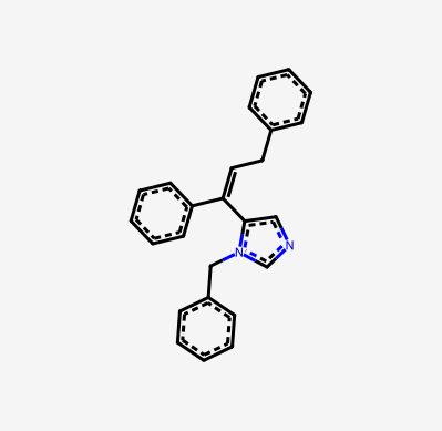 C(Cc1ccccc1)=C(c1ccccc1)c1cncn1Cc1ccccc1